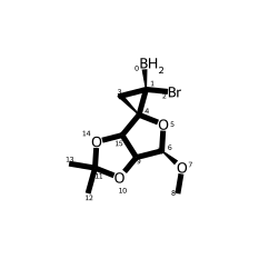 B[C@]1(Br)C[C@]12O[C@@H](OC)C1OC(C)(C)OC12